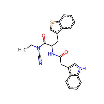 CCN(C#N)C(=O)C(Cc1csc2ccccc12)NC(=O)Cc1c[nH]c2ccccc12